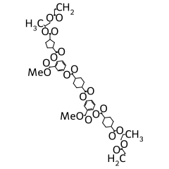 C=CC(=O)OCC(C)OC(=O)C1CCC(C(=O)Oc2ccc(OC(=O)C3CCC(C(=O)Oc4ccc(OC(=O)C5CCC(C(=O)OC(C)COC(=O)C=C)C5)c(C(=O)OC)c4)CC3)cc2C(=O)OC)CC1